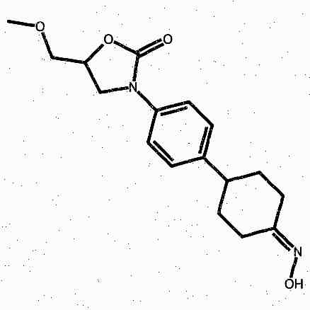 COCC1CN(c2ccc(C3CCC(=NO)CC3)cc2)C(=O)O1